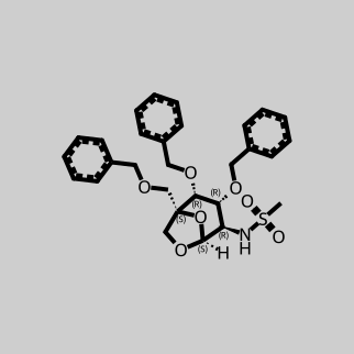 CS(=O)(=O)N[C@H]1[C@H]2OC[C@](COCc3ccccc3)(O2)[C@H](OCc2ccccc2)[C@@H]1OCc1ccccc1